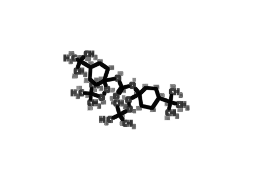 CC(C)(C)OOC1(OC(=O)OC2(OOC(C)(C)C)CCC(C(C)(C)C)CC2)CCC(C(C)(C)C)CC1